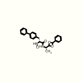 C[C@H](NC(=O)[C@@H](Cc1ccc(-c2ccccc2)cc1)NCl)C1OC(c2ccccc2)O1